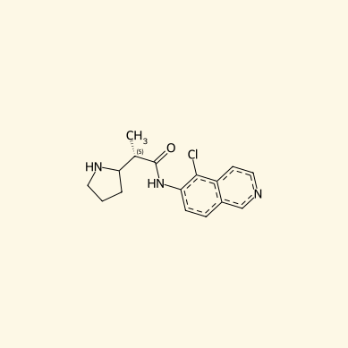 C[C@H](C(=O)Nc1ccc2cnccc2c1Cl)C1CCCN1